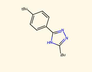 CCC(C)c1nnc(-c2ccc(C(C)(C)C)cc2)[nH]1